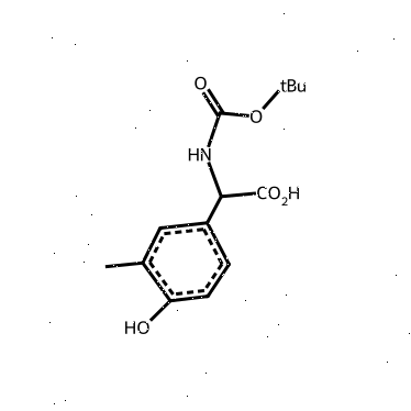 Cc1cc(C(NC(=O)OC(C)(C)C)C(=O)O)ccc1O